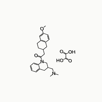 COc1ccc2c(c1)CCC(CC(=O)N1CC(CN(C)C)Cc3ccccc31)C2.O=C(O)C(=O)O